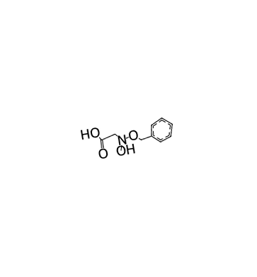 O=C(O)CN(O)OCc1ccccc1